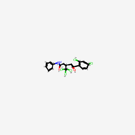 O=C(CC(CC(=O)c1ccc(Cl)cc1Cl)C(Cl)(Cl)Cl)Nc1ccccc1